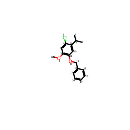 COc1cc(Cl)c(C(C)C)cc1OCc1ccccc1